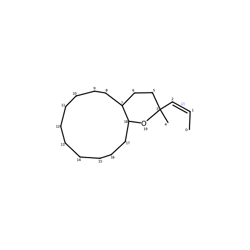 C/C=C\C1(C)CCC2CCCCCCCCCCC2O1